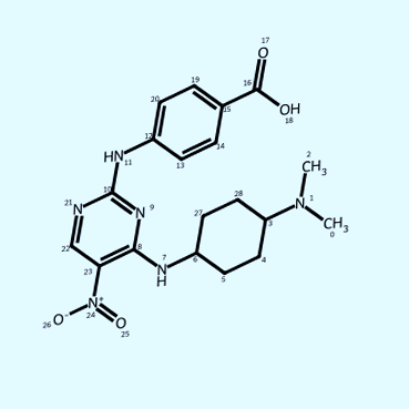 CN(C)C1CCC(Nc2nc(Nc3ccc(C(=O)O)cc3)ncc2[N+](=O)[O-])CC1